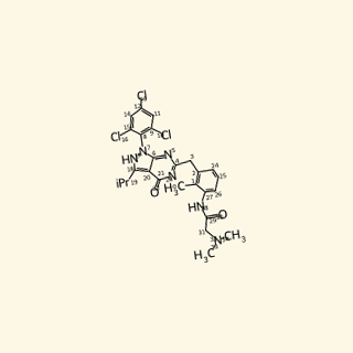 Cc1c(Cc2nc3n(-c4c(Cl)cc(Cl)cc4Cl)[nH]c(C(C)C)c-3c(=O)n2)cccc1NC(=O)CN(C)C